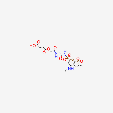 CCN[C@H]1C=C(S(=O)(=O)NC(=O)CNC(=O)COC(=O)CCC(=O)O)SC2=C1C[C@H](C)S2(=O)=O